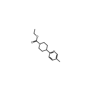 CCOC(=O)N1CCC(c2ccc(C)cn2)CC1